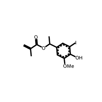 C=C(C)C(=O)OC(C)c1cc(I)c(O)c(OC)c1